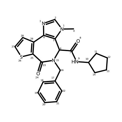 Cn1cnc2c1C(C(=O)NC1CCCC1)N(Cc1ccccc1)C(=O)c1sccc1-2